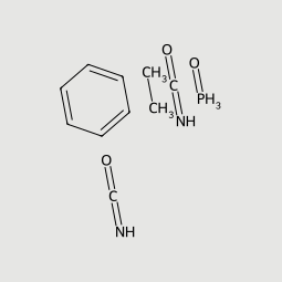 CC.N=C=O.N=C=O.O=[PH3].c1ccccc1